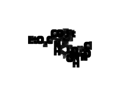 CCOC(=O)C(C(=O)OCC)C(Nc1ccc(S(=O)(=O)Nc2cc(Cl)on2)cc1)c1ccccc1